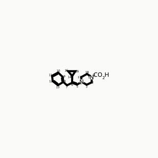 O=C(O)N1CCN(C=C(Cc2ccccc2)C2CC2)CC1